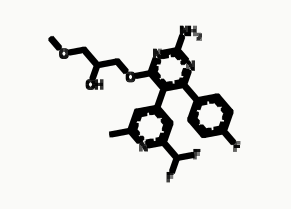 COCC(O)COc1nc(N)nc(-c2ccc(F)cc2)c1-c1cc(C)nc(C(F)F)c1